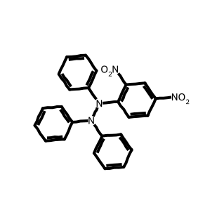 O=[N+]([O-])c1ccc(N(c2ccccc2)N(c2ccccc2)c2ccccc2)c([N+](=O)[O-])c1